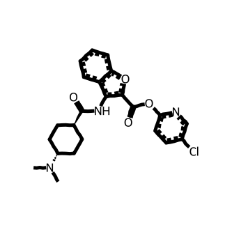 CN(C)[C@H]1CC[C@H](C(=O)Nc2c(C(=O)Oc3ccc(Cl)cn3)oc3ccccc23)CC1